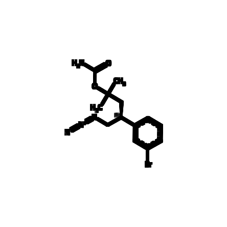 CC(C)(C[C@H](CN=[N+]=[N-])c1cccc(Br)c1)OC(N)=O